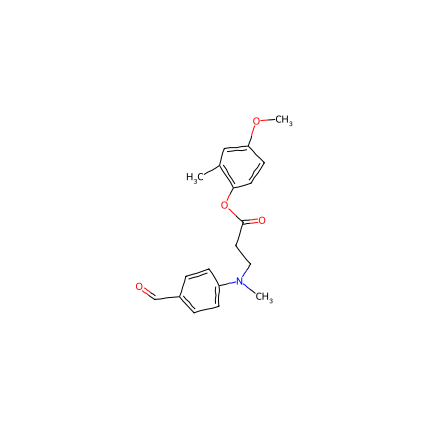 COc1ccc(OC(=O)CCN(C)c2ccc(C=O)cc2)c(C)c1